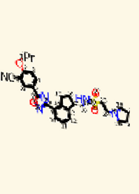 CC(C)Oc1ccc(-c2nc(-c3cccc4c3CC[C@@H]4CNS(=O)(=O)CCN3CCCC3)no2)cc1C#N